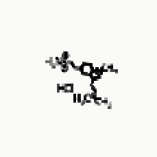 CN(C)CCc1cn(C)c2ccc(CCS(N)(=O)=O)cc12.Cl